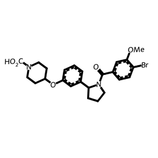 COc1cc(C(=O)N2CCCC2c2cccc(OC3CCN(C(=O)O)CC3)c2)ccc1Br